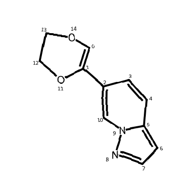 C1=C(c2ccc3ccnn3c2)OCCO1